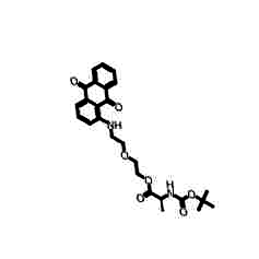 C[C@H](NC(=O)OC(C)(C)C)C(=O)OCCOCCNc1cccc2c1C(=O)c1ccccc1C2=O